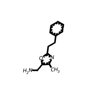 Cc1nc(CCc2ccccc2)oc1CN